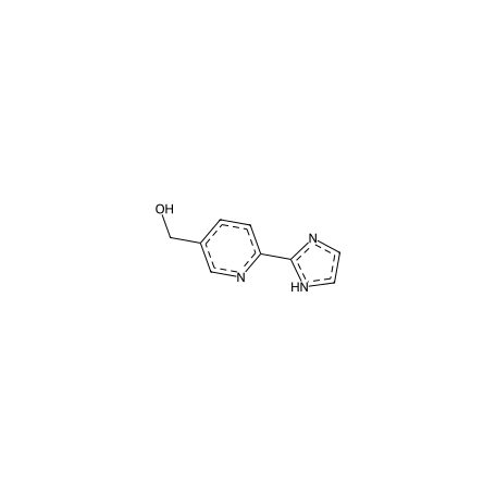 OCc1ccc(-c2ncc[nH]2)nc1